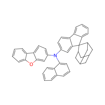 c1ccc2c(c1)-c1ccc(N(c3ccc4c(c3)oc3ccccc34)c3cccc4ccccc34)cc1C21C2CC3CC(C2)CC1C3